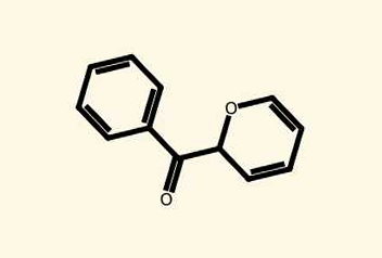 O=C([C]1C=CC=CO1)c1ccccc1